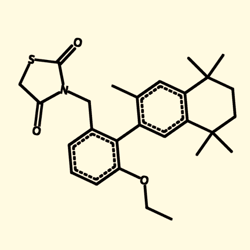 CCOc1cccc(CN2C(=O)CSC2=O)c1-c1cc2c(cc1C)C(C)(C)CCC2(C)C